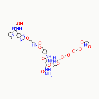 Cc1cccc(-c2nc(CO)[nH]c2-c2ccc3ncc(OCCCCNC(=O)OCc4ccc(NC(=O)C(CCCNC(N)=O)NC(=O)C(NC(=O)CCOCCOCCOCCOCCN5C(=O)C=CC5=O)C(C)C)cc4)nc3c2)n1